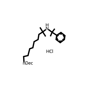 CCCCCCCCCCCCCCCCCC(C)(C)NC(C)(C)c1ccccc1.Cl